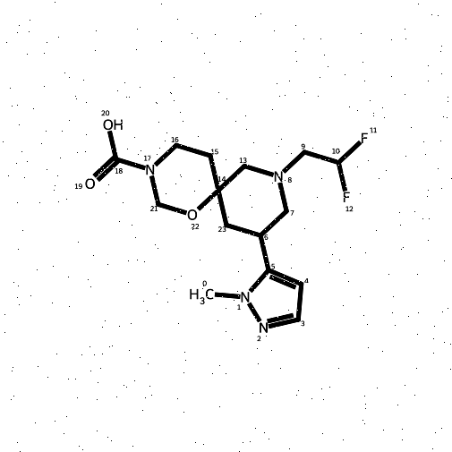 Cn1nccc1C1CN(CC(F)F)CC2(CCN(C(=O)O)CO2)C1